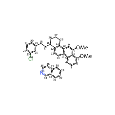 COc1cccc2c1c(OC)cc1c3c(ccc12)C(CCc1cccc(Cl)c1)CCC3.c1ccc2cnccc2c1